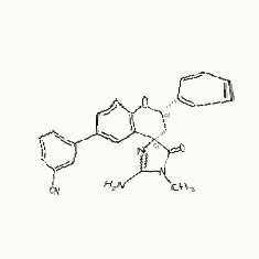 CN1C(=O)[C@@]2(C[C@@H](c3ccccc3)Oc3ccc(-c4cccc(C#N)c4)cc32)N=C1N